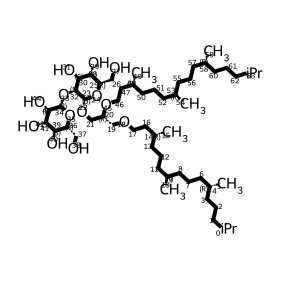 CC(C)CCC[C@@H](C)CCC[C@@H](C)CCC[C@@H](C)CCOC[C@H](CO[C@H]1O[C@H](CO)[C@@H](O)[C@H](O)[C@@H]1O[C@H]1O[C@H](CO)[C@@H](O)[C@H](O)[C@@H]1O)OCC[C@H](C)CCC[C@H](C)CCC[C@H](C)CCCC(C)C